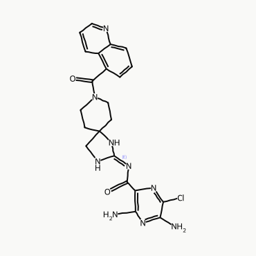 Nc1nc(N)c(C(=O)/N=C2\NCC3(CCN(C(=O)c4cccc5ncccc45)CC3)N2)nc1Cl